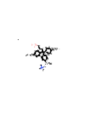 C[N+](C)(C)C.[BH3-]CCCC(c1ccc(OC)cc1)(c1ccc(OC)cc1)c1ccc(OC)cc1